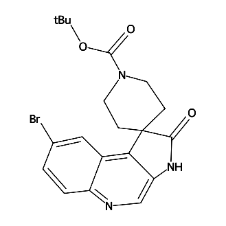 CC(C)(C)OC(=O)N1CCC2(CC1)C(=O)Nc1cnc3ccc(Br)cc3c12